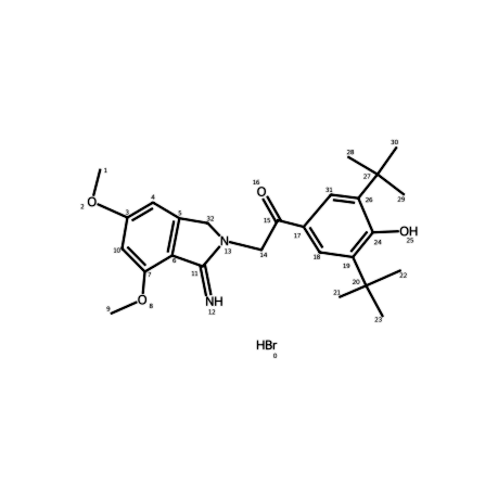 Br.COc1cc2c(c(OC)c1)C(=N)N(CC(=O)c1cc(C(C)(C)C)c(O)c(C(C)(C)C)c1)C2